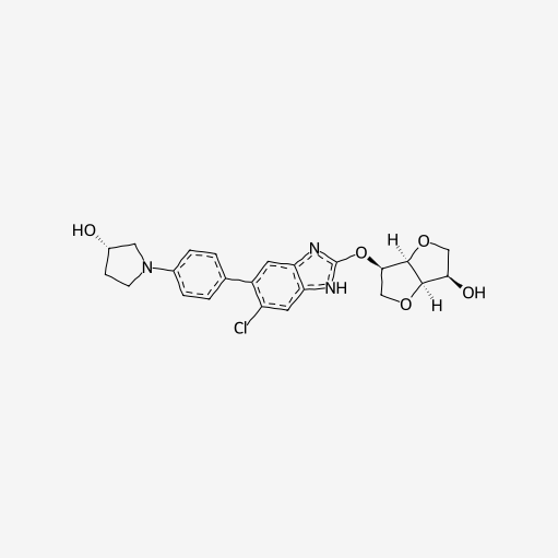 O[C@H]1CCN(c2ccc(-c3cc4nc(O[C@@H]5CO[C@H]6[C@@H]5OC[C@H]6O)[nH]c4cc3Cl)cc2)C1